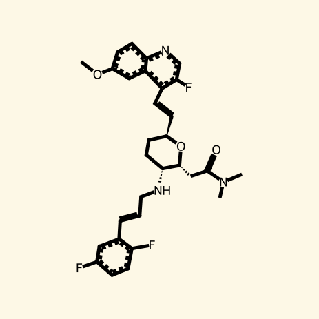 COc1ccc2ncc(F)c(C=C[C@@H]3CC[C@@H](NCC=Cc4cc(F)ccc4F)[C@@H](CC(=O)N(C)C)O3)c2c1